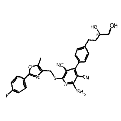 Cc1oc(-c2ccc(F)cc2)nc1CSc1nc(N)c(C#N)c(-c2ccc(CC[C@@H](O)CO)cc2)c1C#N